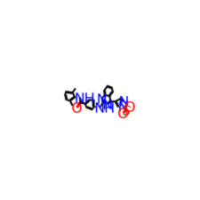 Cc1cccc(C)c1NC(=O)c1ccc(Nc2nc(-c3cnn(S(C)(=O)=O)c3)c3ccccc3n2)cc1